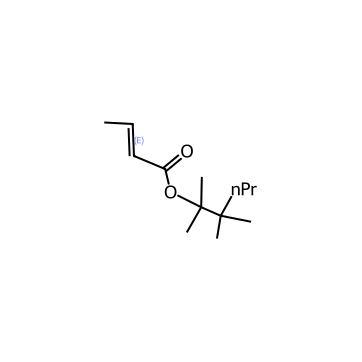 C/C=C/C(=O)OC(C)(C)C(C)(C)CCC